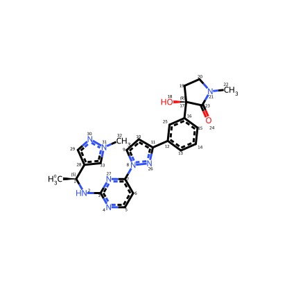 C[C@H](Nc1nccc(-n2ccc(-c3cccc([C@]4(O)CCN(C)C4=O)c3)n2)n1)c1cnn(C)c1